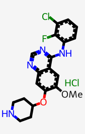 COc1cc2c(Nc3cccc(Cl)c3F)ncnc2cc1OC1CCNCC1.Cl